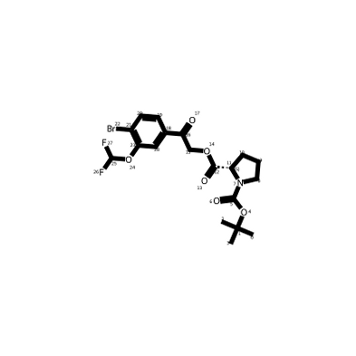 CC(C)(C)OC(=O)N1CCC[C@H]1C(=O)OCC(=O)c1ccc(Br)c(OC(F)F)c1